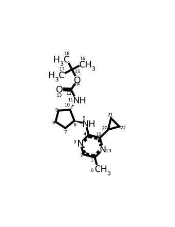 Cc1cnc(N[C@H]2CCC[C@@H]2NC(=O)OC(C)(C)C)c(C2CC2)n1